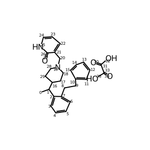 CC(c1ccccc1CCc1ccccc1)C1CCN(Cc2ccc[nH]c2=O)CC1.O=C(O)C(=O)O